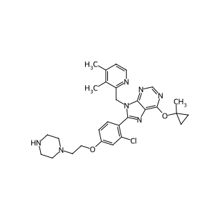 Cc1ccnc(Cn2c(-c3ccc(OCCN4CCNCC4)cc3Cl)nc3c(OC4(C)CC4)ncnc32)c1C